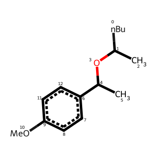 CCCCC(C)OC(C)c1ccc(OC)cc1